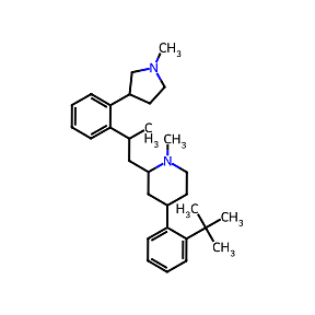 CC(CC1CC(c2ccccc2C(C)(C)C)CCN1C)c1ccccc1C1CCN(C)C1